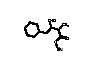 CN(C(=O)OC(C)(C)C)C(C=O)CC1CCCCC1